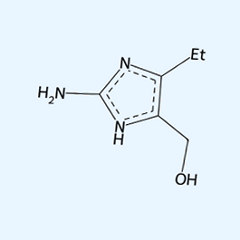 CCc1nc(N)[nH]c1CO